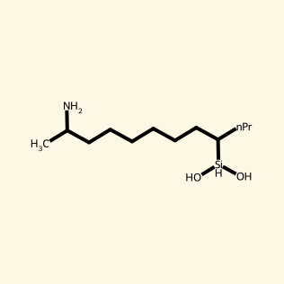 CCCC(CCCCCCC(C)N)[SiH](O)O